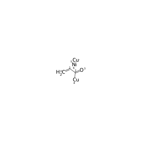 C=C[C](=O)[Cu].[Cu].[Ni]